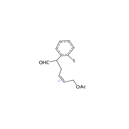 CC(=O)OC/C=C\CC(C=O)c1ccccc1I